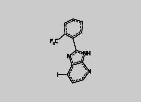 FC(F)(F)c1ccccc1-c1nc2c(I)ccnc2[nH]1